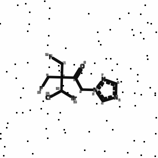 O=C(Cn1cncn1)C(CF)(CF)C(Cl)Br